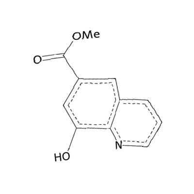 COC(=O)c1cc(O)c2ncccc2c1